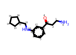 NCCC(=O)c1cccc(NCC2CCCC2)c1